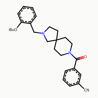 CC(C)COc1ccccc1CN1CCC2(CCN(C(=O)c3cccc(C#N)c3)CC2)C1